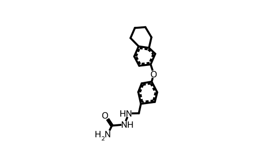 NC(=O)NNCc1ccc(Oc2ccc3c(c2)CCCC3)cc1